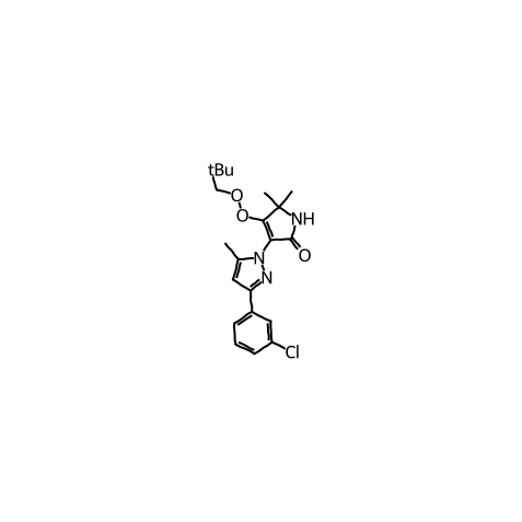 Cc1cc(-c2cccc(Cl)c2)nn1C1=C(OOCC(C)(C)C)C(C)(C)NC1=O